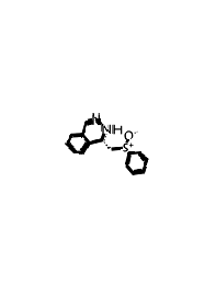 [O-][S+](C[C@H]1NN=Cc2ccccc21)c1ccccc1